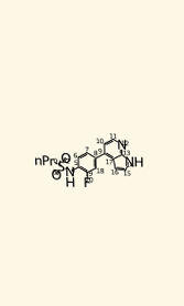 CCCS(=O)(=O)Nc1ccc(-c2ccnc3[nH]ccc23)cc1F